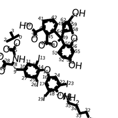 CC(C)(C)OC(=O)N[C@H](Cc1cc(I)c(Oc2cc(I)c(O)c(I)c2)c(I)c1)C(=O)O.NCCCCN.O=C(O)c1cccc2c1C(=O)OC21c2ccc(O)cc2Oc2cc(O)ccc21